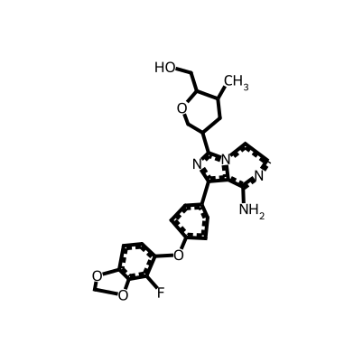 CC1CC(c2nc(-c3ccc(Oc4ccc5c(c4F)OCO5)cc3)c3c(N)nccn23)COC1CO